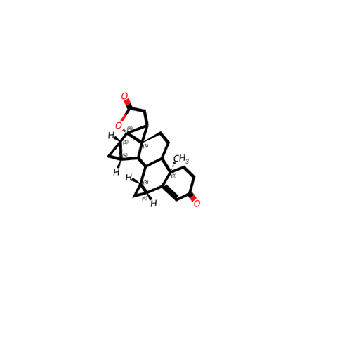 C[C@]12CCC(=O)C=C1[C@@H]1C[C@@H]1C1C3[C@@H]4C[C@@H]4[C@@]45OC(=O)CC4[C@]35CCC12